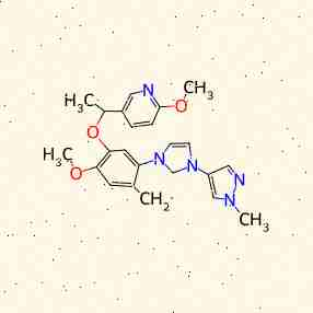 [CH2]c1cc(OC)c(OC(C)c2ccc(OC)nc2)cc1N1C=CN(c2cnn(C)c2)C1